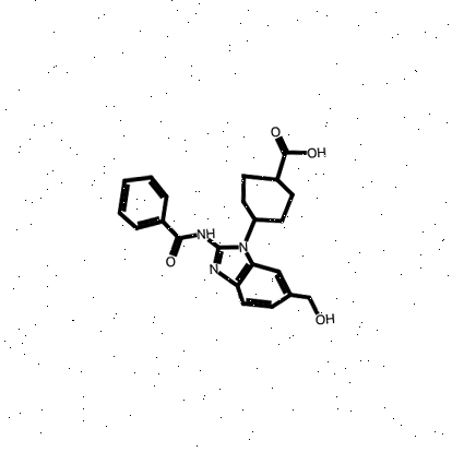 O=C(Nc1nc2ccc(CO)cc2n1C1CCC(C(=O)O)CC1)c1ccccc1